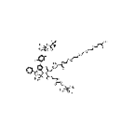 CC(C)(C)OC(=O)C(F)(F)F.CC(C)(C)[C@H](c1cc(-c2cc(F)ccc2F)cn1Cc1ccccc1)N(CCCNC(=O)OCC[Si](C)(C)C)C(=O)CSC[C@H](N)C(=O)NCCOCCOCCOCCOCCC(=O)O